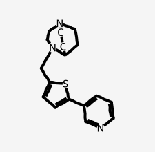 c1cncc(-c2ccc(CN3CCN4CCC3CC4)s2)c1